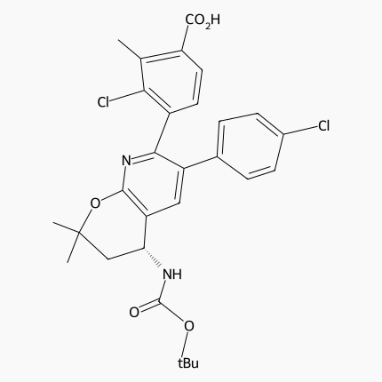 Cc1c(C(=O)O)ccc(-c2nc3c(cc2-c2ccc(Cl)cc2)[C@H](NC(=O)OC(C)(C)C)CC(C)(C)O3)c1Cl